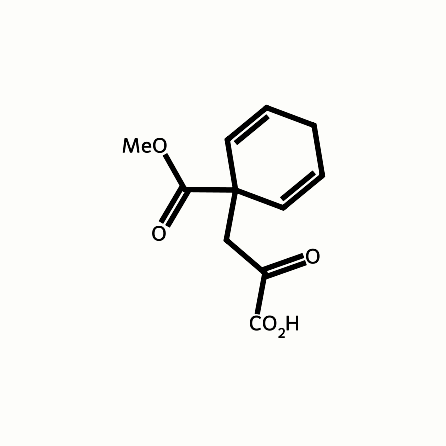 COC(=O)C1(CC(=O)C(=O)O)C=CCC=C1